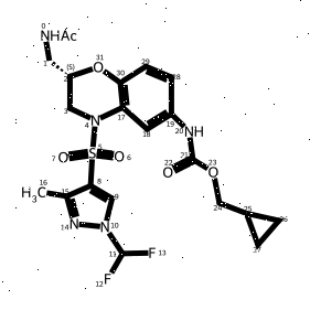 CC(=O)NC[C@H]1CN(S(=O)(=O)c2cn(C(F)F)nc2C)c2cc(NC(=O)OCC3CC3)ccc2O1